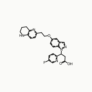 O=C(O)CC(c1ccc(F)cn1)n1ncc2cc(OCCc3ccc4c(n3)CCCN4)ccc21